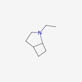 CCN1CCC2CCC21